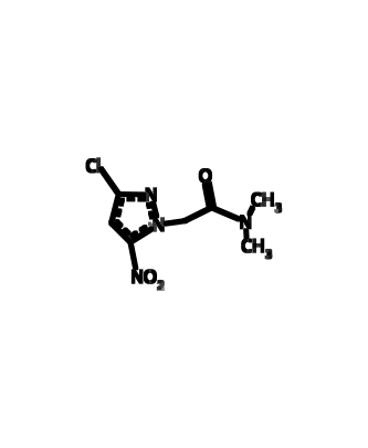 CN(C)C(=O)Cn1nc(Cl)cc1[N+](=O)[O-]